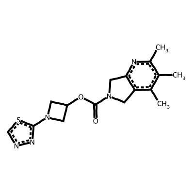 Cc1nc2c(c(C)c1C)CN(C(=O)OC1CN(c3nncs3)C1)C2